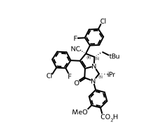 COc1cc(N2C(=O)C3=C(c4cccc(Cl)c4F)[C@@](C#N)(c4ccc(Cl)cc4F)[C@H](CC(C)(C)C)N3[C@@H]2C(C)C)ccc1C(=O)O